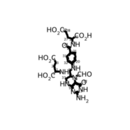 NC(CCC(=O)O)C(=O)O.Nc1nc2c(c(=O)[nH]1)N(C=O)C(CNc1ccc(C(=O)NC(CCC(=O)O)C(=O)O)cc1)CN2